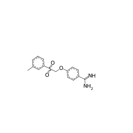 Cc1cccc(S(=O)(=O)COc2ccc(C(=N)N)cc2)c1